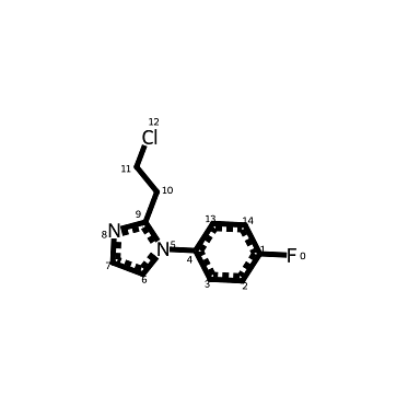 Fc1ccc(-n2ccnc2CCCl)cc1